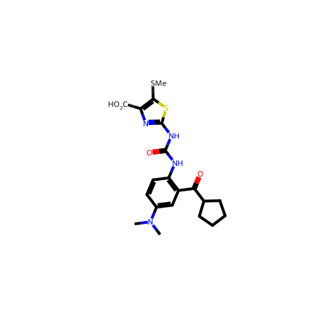 CSc1sc(NC(=O)Nc2ccc(N(C)C)cc2C(=O)C2CCCC2)nc1C(=O)O